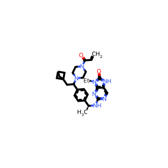 C=CC(=O)N1CCN(C(CC23CC(C2)C3)c2ccc([C@H](C)Nc3ncc4[nH]c(=O)n(CC)c4n3)cc2)CC1